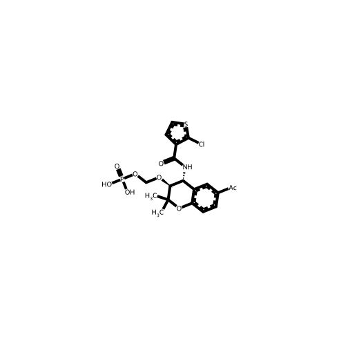 CC(=O)c1ccc2c(c1)[C@@H](NC(=O)c1ccsc1Cl)[C@H](OCOP(=O)(O)O)C(C)(C)O2